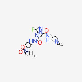 CC(=O)N1CCC(CNC(=O)c2cc(C(=O)NCc3ccc4oc(=O)n(C)c4c3)nc3c(F)cnn23)CC1